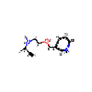 C#CC(C)N(C)CCOCc1cccnc1